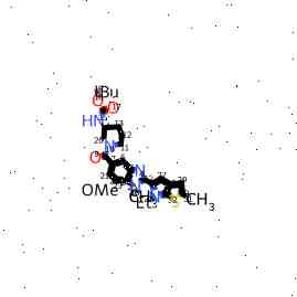 CCn1c(-c2nc3cc(C(=O)N4CCC[C@@H](NC(=O)OC(C)(C)C)C4)cc(OC)c3n2C)cc2cc(C)sc21